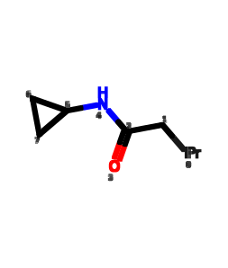 CC(C)CC(=O)NC1CC1